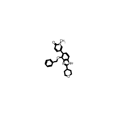 Cn1cc(-c2ccc3[nH]c(C4CCOCC4)nc3c2OCc2ccccc2)ccc1=O